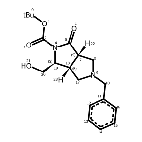 CC(C)(C)OC(=O)N1C(=O)[C@@H]2CN(Cc3ccccc3)C[C@@H]2[C@H]1CO